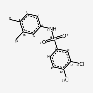 Cc1ccc(NS(=O)(=O)c2ccc(Cl)c(Cl)c2)cc1C